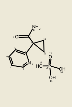 NC(=O)C1(c2ccccn2)CC1.O=P(O)(O)O